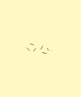 COc1ccc(-c2ccc(C(C)O)nc2)cc1